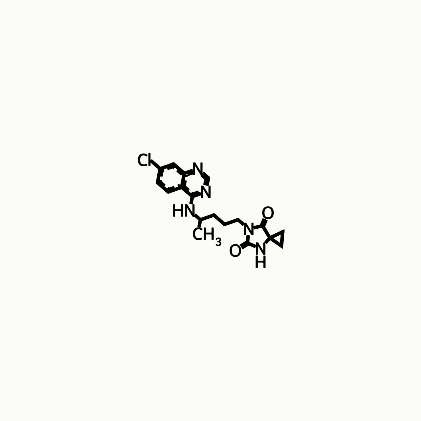 CC(CCCN1C(=O)NC2(CC2)C1=O)Nc1ncnc2cc(Cl)ccc12